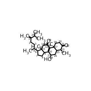 C=C(CCC(C)C1CCC2C3=C(C(=O)CC21C)C1(C)CCC(=O)C(C)C1CC3O)C(C)C